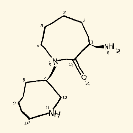 N[C@@H]1CCCCN([C@@H]2CCCNC2)C1=O